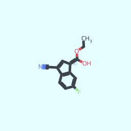 CCO/C(O)=C1\C=C(C#N)c2ccc(F)cc21